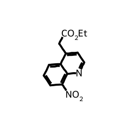 CCOC(=O)Cc1ccnc2c([N+](=O)[O-])cccc12